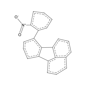 O=[N+]([O-])c1ccccc1-c1cccc2c1-c1cccc3cccc-2c13